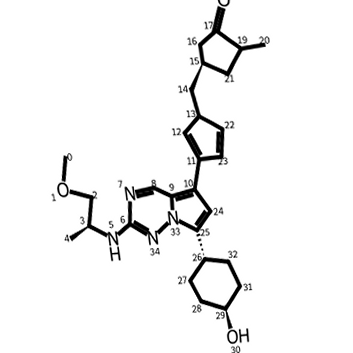 COC[C@H](C)Nc1ncc2c(C3=CC(C[C@H]4CC(=O)C(C)C4)C=C3)cc([C@H]3CC[C@H](O)CC3)n2n1